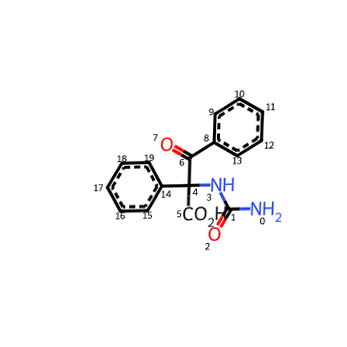 NC(=O)NC(C(=O)O)(C(=O)c1ccccc1)c1ccccc1